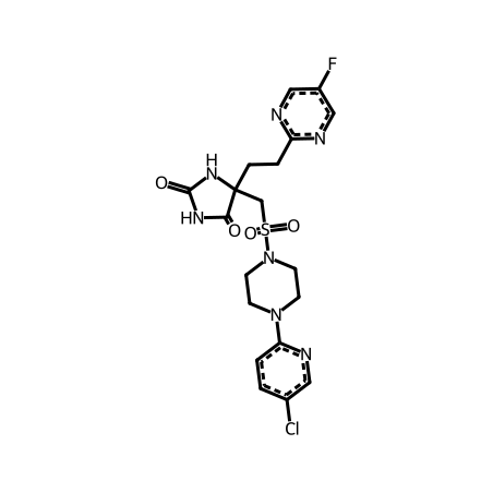 O=C1NC(=O)C(CCc2ncc(F)cn2)(CS(=O)(=O)N2CCN(c3ccc(Cl)cn3)CC2)N1